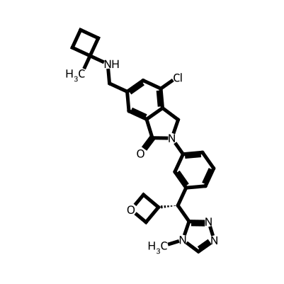 Cn1cnnc1[C@@H](c1cccc(N2Cc3c(Cl)cc(CNC4(C)CCC4)cc3C2=O)c1)C1COC1